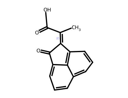 C/C(C(=O)O)=c1/c(=O)c2cccc3cccc1c32